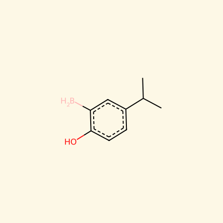 Bc1cc(C(C)C)ccc1O